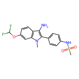 Cn1c(-c2ccc(NS(C)(=O)=O)cc2)c(N)c2ccc(OC(F)F)cc21